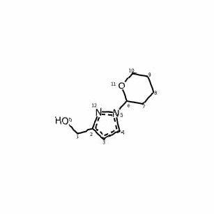 OCc1ccn(C2CCCCO2)n1